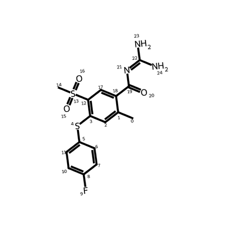 Cc1cc(Sc2ccc(F)cc2)c(S(C)(=O)=O)cc1C(=O)N=C(N)N